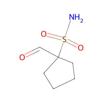 NS(=O)(=O)C1(C=O)CCCC1